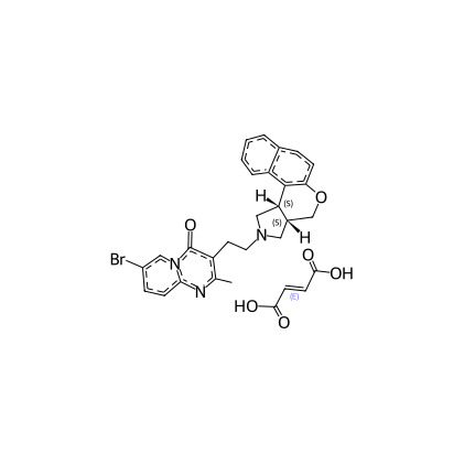 Cc1nc2ccc(Br)cn2c(=O)c1CCN1C[C@H]2COc3ccc4ccccc4c3[C@H]2C1.O=C(O)/C=C/C(=O)O